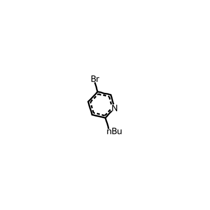 [CH2]CCCc1ccc(Br)cn1